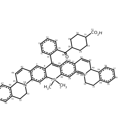 C[Si]1(C)c2cc3c(cc2C(c2ccccc2C(=O)C2CCC(C(=O)O)CC2)=c2cc4c(cc21)=[N+]1CCc2ccccc2C1C=C4)C=CC1c2ccccc2CCN31